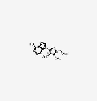 CC(=O)OC[C@H]1O[C@@H](n2cnc3c(O)ncnc32)[C@H](OC(C)=O)[C@H]1OC(C)=O